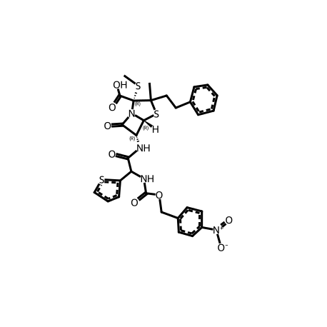 CS[C@@]1(C(=O)O)N2C(=O)[C@@H](NC(=O)C(NC(=O)OCc3ccc([N+](=O)[O-])cc3)c3cccs3)[C@H]2SC1(C)CCc1ccccc1